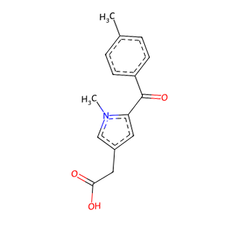 Cc1ccc(C(=O)c2cc(CC(=O)O)cn2C)cc1